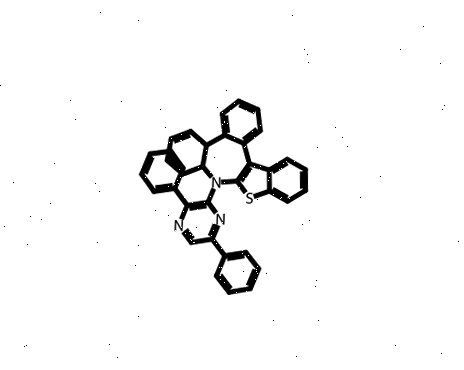 C1=CC2c3ccccc3-c3c(sc4ccccc34)N(c3nc(-c4ccccc4)cnc3-c3ccccc3)C2C=C1